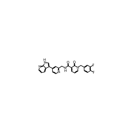 O=C(NCc1cc(-c2c[nH]c3ncccc23)ccn1)c1cccn(Cc2ccc(F)c(F)c2)c1=O